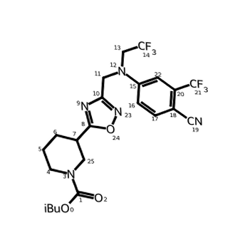 CC(C)COC(=O)N1CCCC(c2nc(CN(CC(F)(F)F)c3ccc(C#N)c(C(F)(F)F)c3)no2)C1